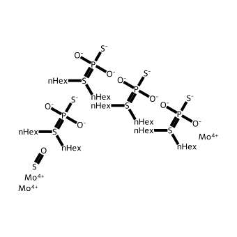 CCCCCCS(CCCCCC)=P([O-])([O-])[S-].CCCCCCS(CCCCCC)=P([O-])([O-])[S-].CCCCCCS(CCCCCC)=P([O-])([O-])[S-].CCCCCCS(CCCCCC)=P([O-])([O-])[S-].O=S.[Mo+4].[Mo+4].[Mo+4]